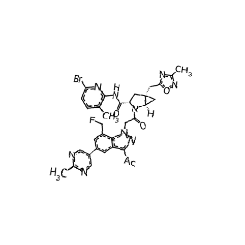 CC(=O)c1nn(CC(=O)N2[C@H](C(=O)Nc3nc(Br)ccc3C)C[C@@]3(Cc4nc(C)no4)C[C@@H]23)c2c(CF)cc(-c3cnc(C)nc3)cc12